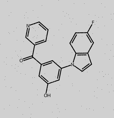 O=C(c1cccnc1)c1cc(O)cc(-n2ccc3cc(F)ccc32)c1